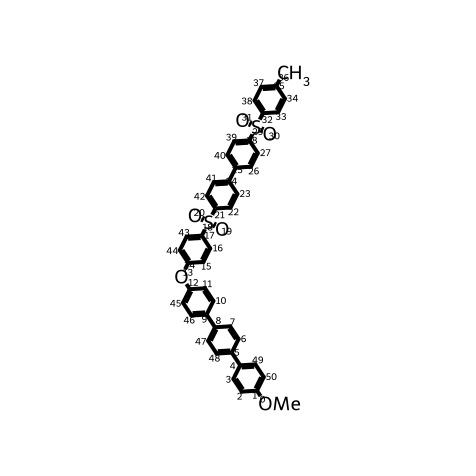 COc1ccc(-c2ccc(-c3ccc(Oc4ccc(S(=O)(=O)c5ccc(-c6ccc(S(=O)(=O)c7ccc(C)cc7)cc6)cc5)cc4)cc3)cc2)cc1